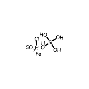 O=S(=O)(O)Cl.O[Si](O)(O)O.[Fe]